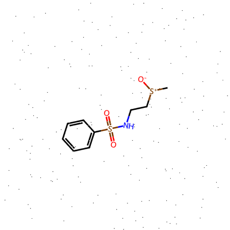 C[S+]([O-])CCNS(=O)(=O)c1ccccc1